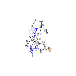 N#CC1CC(N2C3CC[C@H]2CN(c2ccnn4cc(Br)cc24)C3)C1